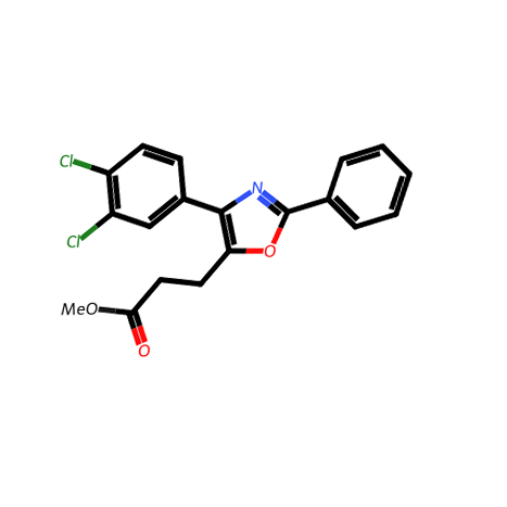 COC(=O)CCc1oc(-c2ccccc2)nc1-c1ccc(Cl)c(Cl)c1